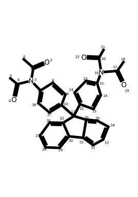 CC(=O)N(C(C)=O)c1ccc(C2(c3ccc(N(C(C)=O)C(C)=O)cc3)c3ccccc3-c3ccccc32)cc1